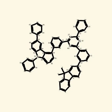 CC1(C)c2ccccc2-c2ccc(-c3cccc(-c4nc(-c5ccccc5)nc(-c5cccc(-c6cccc7c6c6cc(-c8ccccc8)ccc6n7-c6ccccc6)c5)n4)c3)cc21